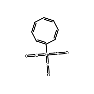 O=[C]=[Fe](=[C]=O)(=[C]=O)[C]1=CC=CC=CC=C1